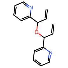 C=CC(OC(C=C)c1ccccn1)c1ccccn1